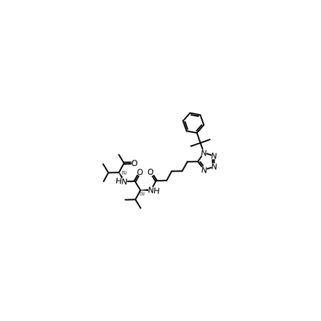 CC(=O)[C@@H](NC(=O)[C@@H](NC(=O)CCCCc1nnnn1C(C)(C)c1ccccc1)C(C)C)C(C)C